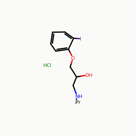 CC(C)NCC(O)COc1ccccc1I.Cl